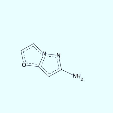 Nc1cc2occn2n1